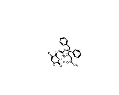 CCC(=O)O[C@](Cc1ccccc1)(c1ccccc1)[C@H](C)CN(C)C.O=c1[nH]cc(F)c(=O)[nH]1